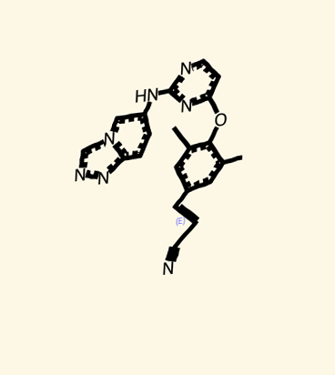 Cc1cc(/C=C/C#N)cc(C)c1Oc1ccnc(Nc2ccc3nncn3c2)n1